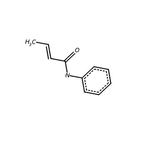 CC=CC(=O)[N]c1ccccc1